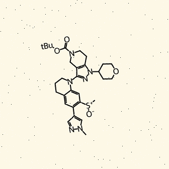 Cn1cc(-c2cc3c(cc2[S+](C)[O-])N(c2nn(C4CCOCC4)c4c2CN(C(=O)OC(C)(C)C)CC4)CCC3)cn1